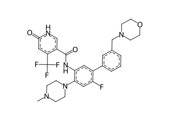 CN1CCN(c2cc(F)c(-c3cccc(CN4CCOCC4)c3)cc2NC(=O)c2c[nH]c(=O)cc2C(F)(F)F)CC1